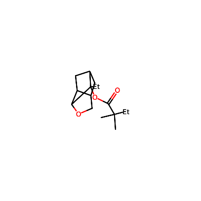 CCC(C)(C)C(=O)OC1(CC)C2CC3COC1C3C2